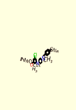 CCN(c1cc(Cl)cc(C(=O)OC)c1C)C1CCC(N(C)Cc2ccc(OC)cc2)CC1